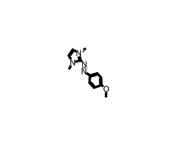 COc1ccc(/N=N/c2n(C)cc[n+]2C)cc1